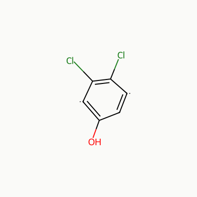 Oc1[c]c(Cl)c(Cl)[c]c1